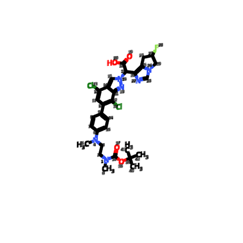 CN(CCN(C)c1ccc(-c2cc(Cl)c3cn(C(C(=O)O)c4ncn5c4CC(F)C5)nc3c2Cl)cc1)C(=O)OC(C)(C)C